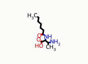 CCCCCCC(=O)NC(C(=O)O)C(C)N